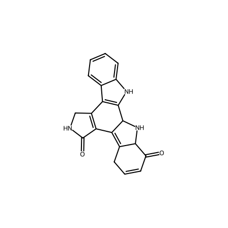 O=C1NCC2=C1C1=C3CC=CC(=O)C3NC1c1[nH]c3ccccc3c12